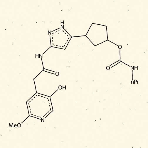 CCCNC(=O)OC1CCC(c2cc(NC(=O)Cc3cc(OC)ncc3O)n[nH]2)C1